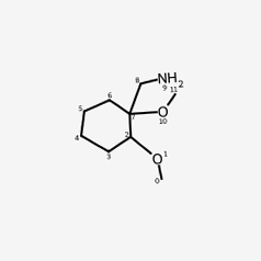 COC1CCCCC1(CN)OC